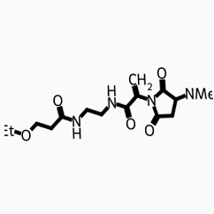 C=C(C(=O)NCCNC(=O)CCOCC)N1C(=O)CC(NC)C1=O